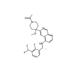 COC1(c2cc3c(N[C@H](C)c4cccc(C(F)F)c4F)ccnc3cn2)CCN(C(C)=O)CC1